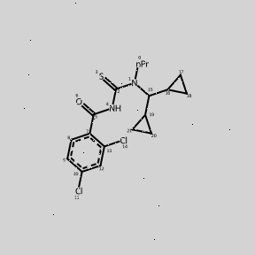 CCCN(C(=S)NC(=O)c1ccc(Cl)cc1Cl)C(C1CC1)C1CC1